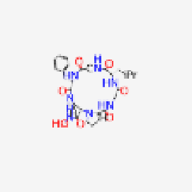 CC(C)C[C@@H]1NC(=O)CNC(=O)[C@@H]2CCCN2[C@@H](C(=O)NO)[C@@H]2CN2C(=O)[C@H](Cc2ccccc2)NC(=O)CNC1=O